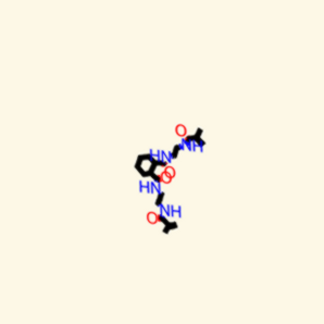 C=C(C)C(=O)NCCNC(=O)C1CCCCC1C(=O)NCCNC(=O)C(=C)C